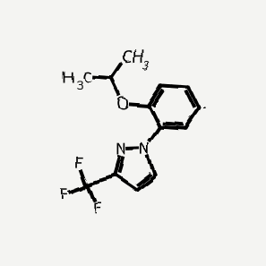 CC(C)Oc1cc[c]cc1-n1ccc(C(F)(F)F)n1